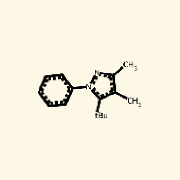 Cc1nn(-c2ccccc2)c(C(C)(C)C)c1C